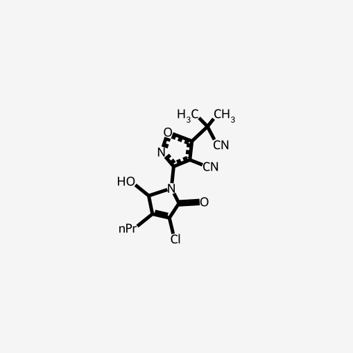 CCCC1=C(Cl)C(=O)N(c2noc(C(C)(C)C#N)c2C#N)C1O